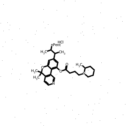 CCCCCC(C)C(C)c1cc(OC(=O)CCCN2CCCCC2C)c2c(c1)OC(C)(C)c1ccncc1-2.Cl